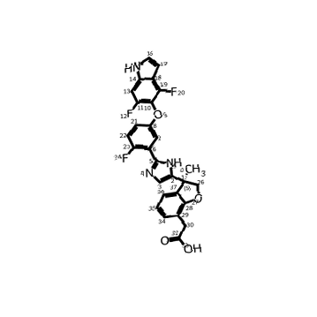 C[C@]1(c2cnc(-c3cc(Oc4c(F)cc5[nH]ccc5c4F)ccc3F)[nH]2)COc2c(CC(=O)O)cccc21